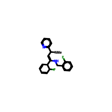 CNC(/C=C(\NCc1ccccc1F)C1C=CC=CC1F)c1ccccn1